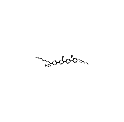 CCCCCCCCC(O)C1CC=C(c2ccc(-c3ccc(-c4ccc(COCCCC)c(F)c4F)cc3)c(F)c2)CC1